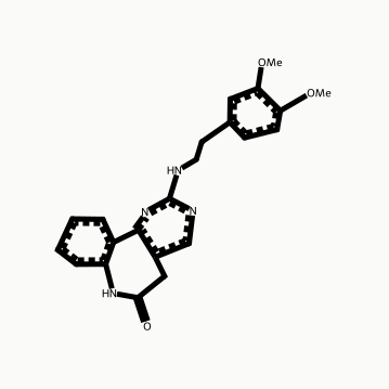 COc1ccc(CCNc2ncc3c(n2)-c2ccccc2NC(=O)C3)cc1OC